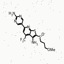 COCCC[S+]([O-])c1sc2nc(-c3cnc(N)nc3)cc(C(F)(F)F)c2c1N